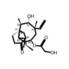 C=C[C@]1(C)C[C@@H](OC(=O)CO)[C@]2(C)[C@H](C)C[C@]34C[C@@](CCC3=O)([C@@H]42)[C@@H](C)[C@@H]1O